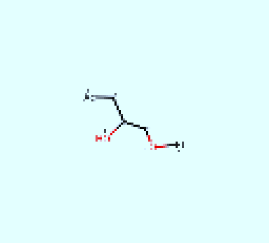 CCOCC(O)CC(C)=O